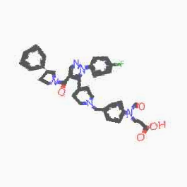 O=CN(CCC(=O)O)c1ccc(CN2CCC(c3c(C(=O)N4CC[C@H](c5ccccc5)C4)cnn3-c3ccc(F)cc3)CC2)cc1